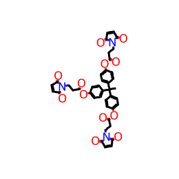 CC(c1ccc(OC(=O)CCN2C(=O)C=CC2=O)cc1)(c1ccc(OC(=O)CCN2C(=O)C=CC2=O)cc1)c1ccc(OC(=O)CCN2C(=O)C=CC2=O)cc1